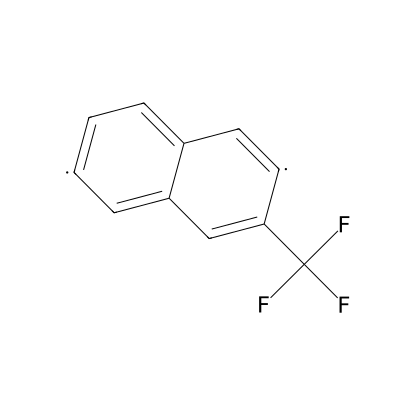 FC(F)(F)c1[c]cc2cc[c]cc2c1